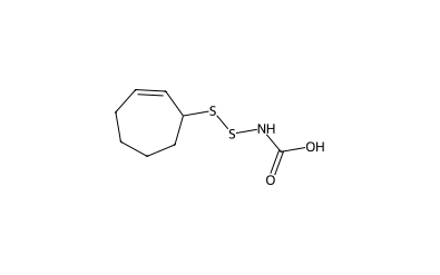 O=C(O)NSSC1C=CCCCC1